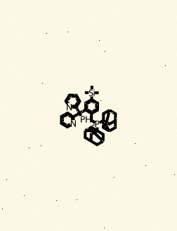 C[Si](C)(C)c1ccc(CP(C23CC4CC(CC(C4)C2)C3)C23CC4CC(CC(C4)C2)C3)c(C(P)(c2ccccn2)c2ccccn2)c1